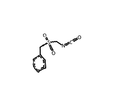 O=C=NCS(=O)(=O)Cc1ccccc1